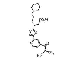 CN(C)C(=O)c1ccnc(-c2noc([C@H](CCCC3CCCCC3)CC(=O)O)n2)c1